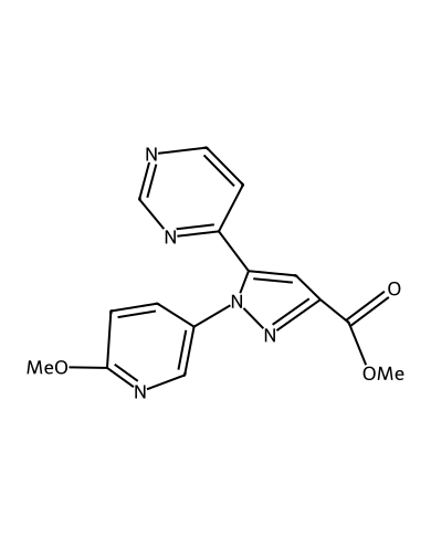 COC(=O)c1cc(-c2ccncn2)n(-c2ccc(OC)nc2)n1